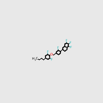 CCCCc1cc(F)c(OCc2ccc(-c3ccc4c(F)c(F)c(F)cc4c3)c(F)c2)c(F)c1